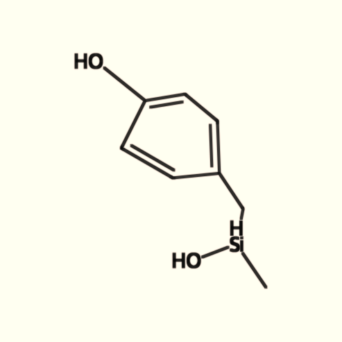 C[SiH](O)Cc1ccc(O)cc1